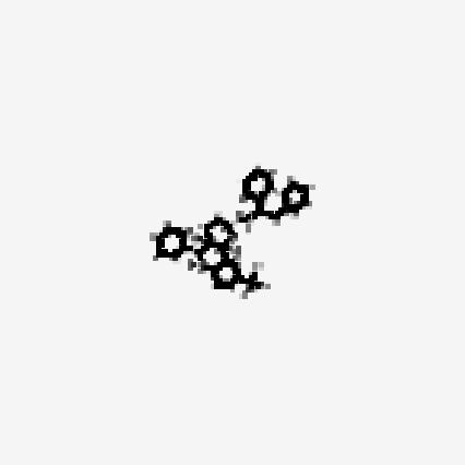 FC(F)(F)c1ccc2c(c1)[C@H]1O[C@@H](CNC(Cc3ccccc3)c3ccccc3)CC[C@H]1[C@H](c1ccccc1)N2